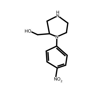 O=[N+]([O-])c1ccc(N2CCNCC2CO)cc1